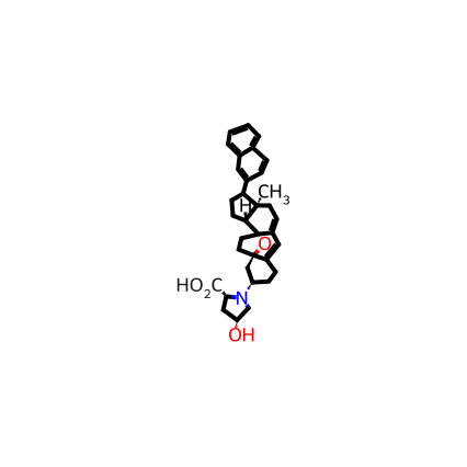 C[C@]12CC=C3C=C4CC[C@H](N5C[C@H](O)C[C@H]5C(=O)O)C[C@]45CCC3(O5)[C@@H]1CCC2c1ccc2ccccc2c1